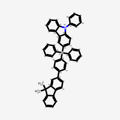 CC1(C)c2ccccc2-c2ccc(-c3ccc([Si](c4ccccc4)(c4ccccc4)c4ccc5c(c4)c4ccccc4n5-c4ccccc4)cc3)cc21